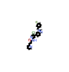 O=C(/C=C/c1ccccn1)Nc1cc(-c2ccc3ncn(Cc4cccc(F)c4)c3c2)c(Cl)cn1